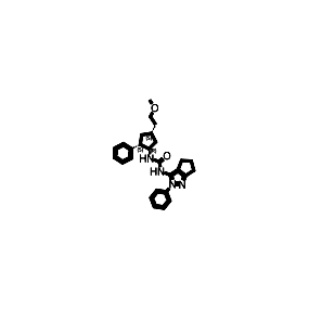 COCC[C@@H]1C[C@@H](NC(=O)Nc2c3c(nn2-c2ccccc2)CCC3)[C@H](c2ccccc2)C1